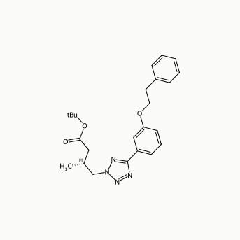 C[C@H](CC(=O)OC(C)(C)C)Cn1nnc(-c2cccc(OCCc3ccccc3)c2)n1